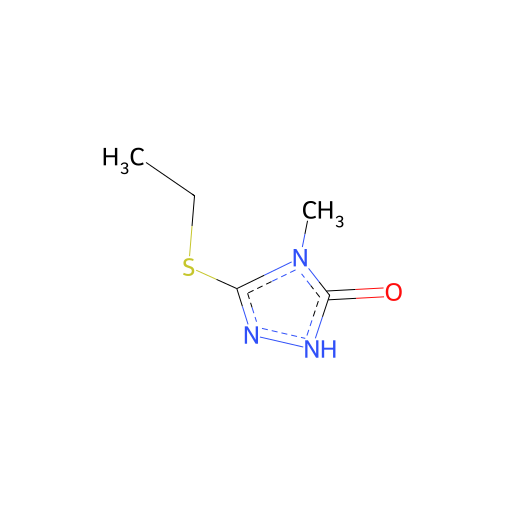 CCSc1n[nH]c(=O)n1C